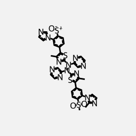 Cc1nc(N(c2cnccn2)N(c2cnccn2)c2nc(C)c(-c3ccc(S(C)(=O)=O)c(-n4ccnc4C)c3)s2)sc1-c1ccc([S+](C)[O-])c(-n2ccnc2)c1